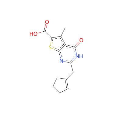 Cc1c(C(=O)O)sc2nc(CC3=CCCC3)[nH]c(=O)c12